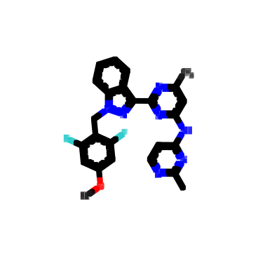 CCOc1cc(F)c(Cn2nc(-c3nc(Nc4ccnc(C)n4)cc(C(F)(F)F)n3)c3ccccc32)c(F)c1